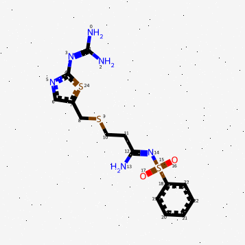 NC(N)=Nc1ncc(CSCC/C(N)=N/S(=O)(=O)c2ccccc2)s1